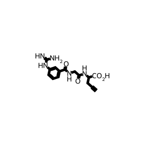 C#CCC(NC(=O)CNC(=O)c1cccc(NC(=N)N)c1)C(=O)O